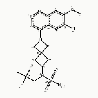 COc1cc2nncc(N3CC4(CC(N(CC(C)(F)F)S(N)(=O)=O)C4)C3)c2cc1Cl